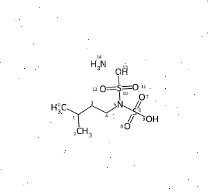 CC(C)CCN(S(=O)(=O)O)S(=O)(=O)O.N